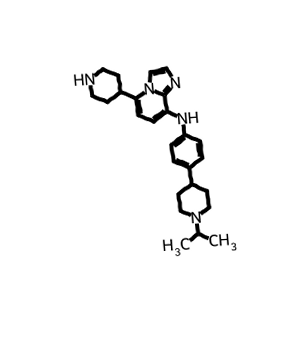 CC(C)N1CCC(c2ccc(Nc3ccc(C4CCNCC4)n4ccnc34)cc2)CC1